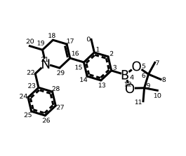 Cc1cc(B2OC(C)(C)C(C)(C)O2)ccc1C1=CCC(C)N(Cc2ccccc2)C1